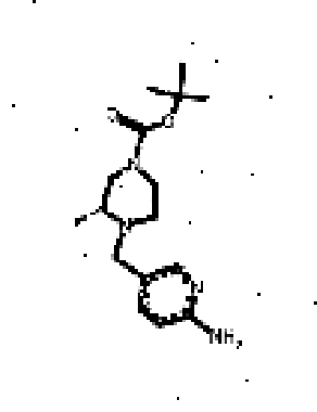 C[C@H]1CN(C(=O)OC(C)(C)C)CCN1Cc1ccc(N)nc1